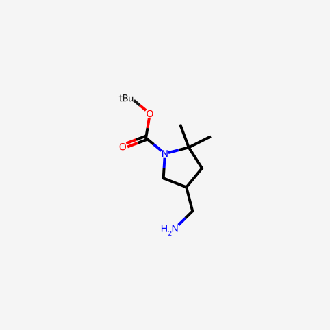 CC(C)(C)OC(=O)N1CC(CN)CC1(C)C